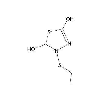 CCSN1N=C(O)SC1O